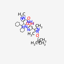 CCn1ncc(C(C(=O)Nc2ncc(-c3c(C)nn(COCC[Si](C)(C)C)c3C)cc2O)C(C2CCCCC2)C2CCCCC2)c1C(N)=O